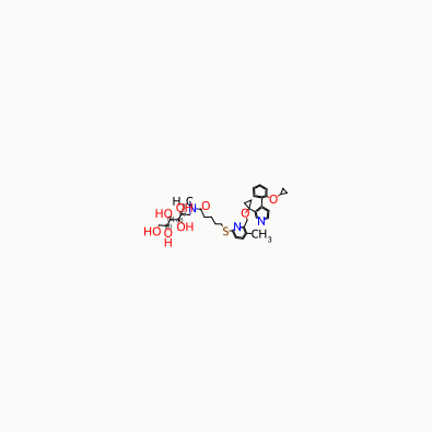 Cc1ccc(SCCCCC(=O)N(C)C[C@H](O)[C@@H](O)[C@H](O)[C@H](O)CO)nc1COC1(c2cnccc2-c2ccccc2OC2CC2)CC1